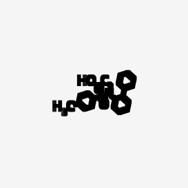 Cc1ccc(S(=O)(=O)N(CC(=O)O)c2ccccc2-c2ccccc2)cc1